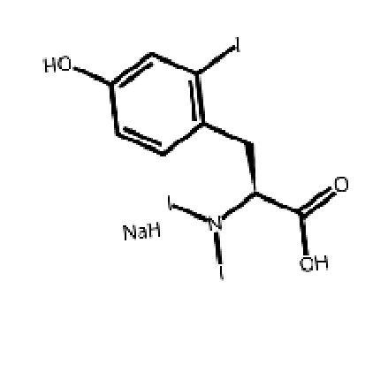 O=C(O)[C@H](Cc1ccc(O)cc1I)N(I)I.[NaH]